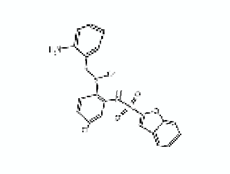 Nc1ccccc1C[S+]([O-])c1ccc(Cl)cc1NS(=O)(=O)c1cc2ccccc2o1